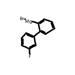 Fc1cccc(-c2cccc[c]2[Mg][Br])c1